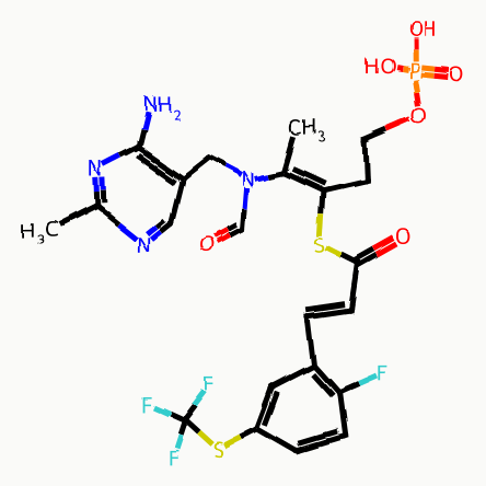 C/C(=C(\CCOP(=O)(O)O)SC(=O)/C=C/c1cc(SC(F)(F)F)ccc1F)N(C=O)Cc1cnc(C)nc1N